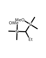 [CH2]CC([Si](C)(C)OC)[Si](C)(C)OC